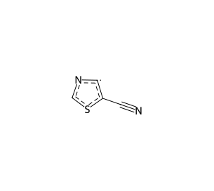 N#Cc1[c]ncs1